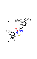 COc1ccc(CCNC(=O)N(S)c2cc(C(F)(F)F)cc(C(F)(F)F)c2)cc1OC